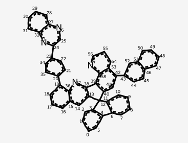 c1ccc2c(c1)-c1ccccc1C21c2cc3cccc(-c4ccc(-c5cnc6ccccc6n5)cc4)c3nc2-c2c1cc(-c1ccc3ccccc3c1)c1cccnc21